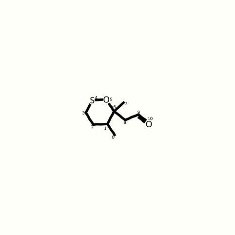 CC1CCSOC1(C)CC=O